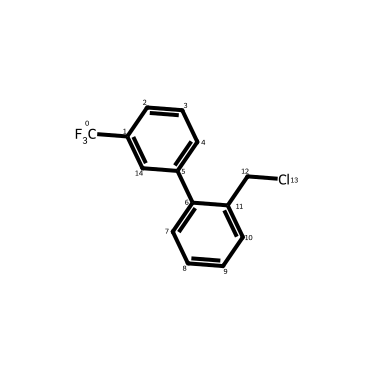 FC(F)(F)c1cccc(-c2ccccc2CCl)c1